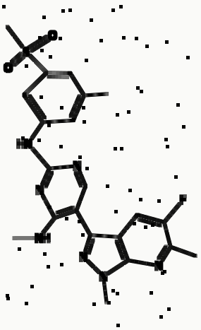 CNc1nc(Nc2cc(C)cc(S(C)(=O)=O)c2)ncc1-c1nn(C)c2nc(C)c(F)cc12